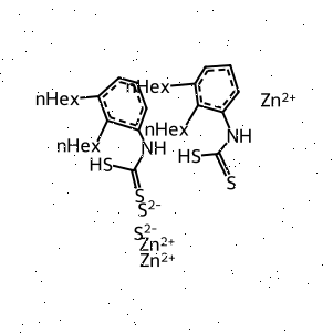 CCCCCCc1cccc(NC(=S)S)c1CCCCCC.CCCCCCc1cccc(NC(=S)S)c1CCCCCC.[S-2].[S-2].[Zn+2].[Zn+2].[Zn+2]